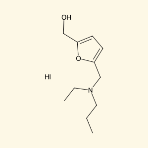 CCCN(CC)Cc1ccc(CO)o1.I